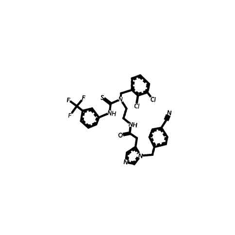 N#Cc1ccc(Cn2cncc2CC(=O)NCCN(Cc2cccc(Cl)c2Cl)C(=S)Nc2cccc(C(F)(F)F)c2)cc1